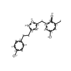 Cc1cc(Cl)nn(Cc2nc(CCc3ccc(Cl)cc3)no2)c1=O